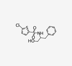 O=S(=O)(NC(CO)Cc1ccccc1)c1ccc(Cl)s1